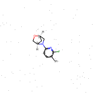 CC(C)c1ccc(N2C[C@H]3C[C@@H]2CO3)nc1F